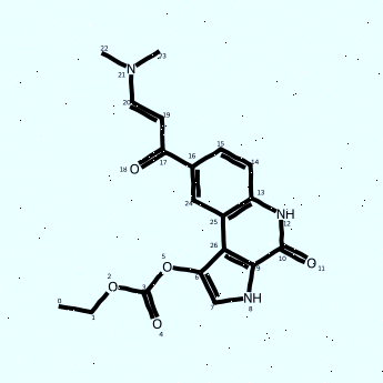 CCOC(=O)Oc1c[nH]c2c(=O)[nH]c3ccc(C(=O)C=CN(C)C)cc3c12